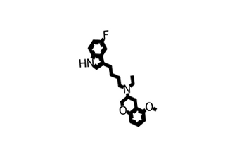 CCN(CCCCc1c[nH]c2ccc(F)cc12)C1COc2cccc(OC)c2C1